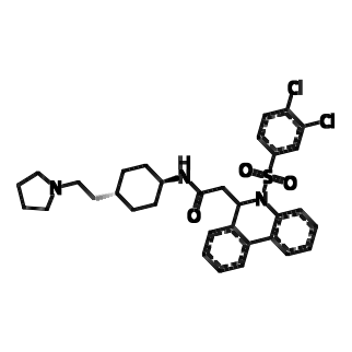 O=C(CC1c2ccccc2-c2ccccc2N1S(=O)(=O)c1ccc(Cl)c(Cl)c1)N[C@H]1CC[C@H](CCN2CCCC2)CC1